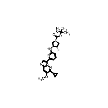 COc1cc2ncc(-c3cccc(N[C@H]4CN(C(=O)OC(C)(C)C)C[C@@H]4F)n3)n2nc1C1CC1